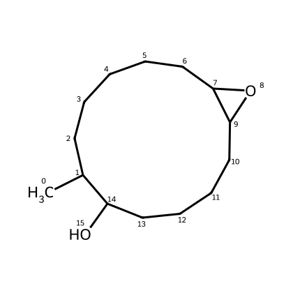 CC1CCCCCC2OC2CCCCC1O